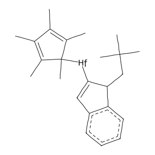 CC1=C(C)[C](C)([Hf][C]2=Cc3ccccc3C2CC(C)(C)C)C(C)=C1C